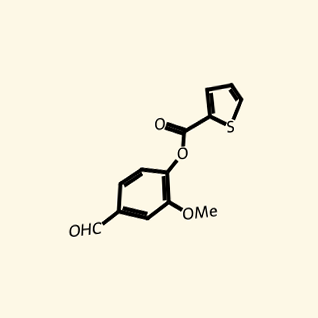 COc1cc(C=O)ccc1OC(=O)c1cccs1